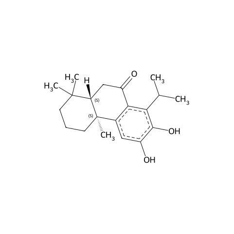 CC(C)c1c(O)c(O)cc2c1C(=O)C[C@H]1C(C)(C)CCC[C@]21C